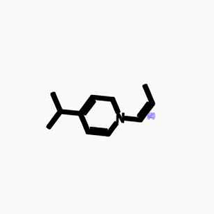 C/C=C\N1C=CC(C(C)C)=CC1